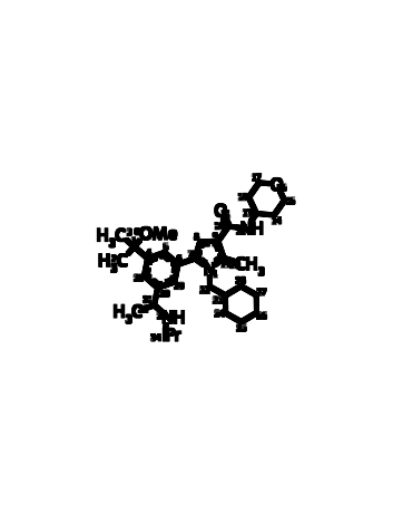 COC(C)(C)c1cc(-c2cc(C(=O)NC3CCOCC3)c(C)n2CC2CCCCC2)cc(C(C)NC(C)C)c1